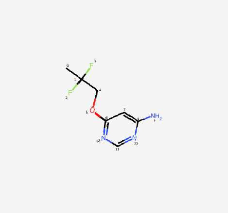 CC(F)(F)COc1cc(N)ncn1